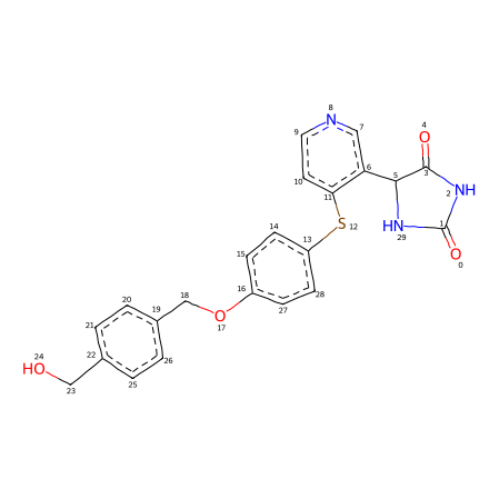 O=C1NC(=O)C(c2cnccc2Sc2ccc(OCc3ccc(CO)cc3)cc2)N1